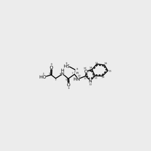 O=C(O)CNC(=O)[C@H](CS)Nc1nc2ccccc2o1